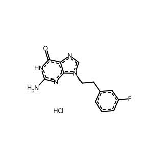 Cl.Nc1nc2c(ncn2CCc2cccc(F)c2)c(=O)[nH]1